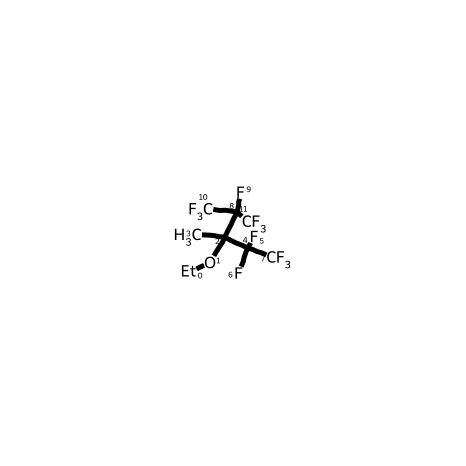 CCOC(C)(C(F)(F)C(F)(F)F)C(F)(C(F)(F)F)C(F)(F)F